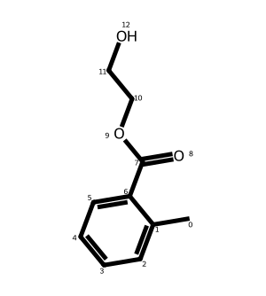 Cc1ccccc1C(=O)OCCO